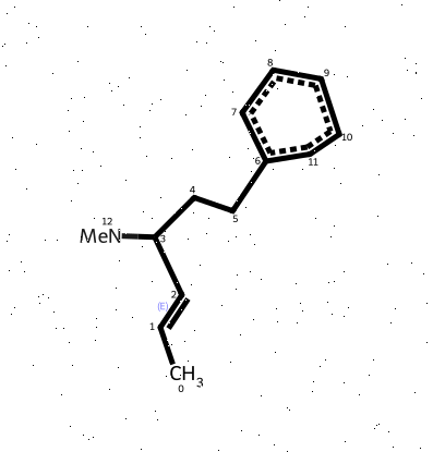 C/C=C/C(CCc1ccccc1)NC